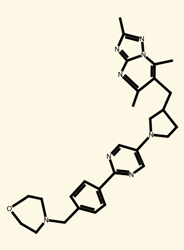 Cc1nc2nc(C)c(CC3CCN(c4cnc(-c5ccc(CN6CCOCC6)cc5)nc4)C3)c(C)n2n1